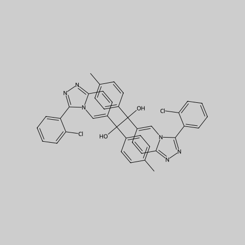 Cc1ccc(C(O)(c2ccc3nnc(-c4ccccc4Cl)n3c2)C(O)(c2ccc(C)cc2)c2ccc3nnc(-c4ccccc4Cl)n3c2)cc1